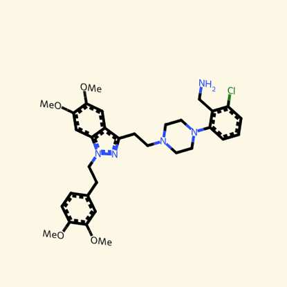 COc1ccc(CCn2nc(CCN3CCN(c4cccc(Cl)c4CN)CC3)c3cc(OC)c(OC)cc32)cc1OC